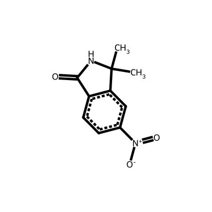 CC1(C)NC(=O)c2ccc([N+](=O)[O-])cc21